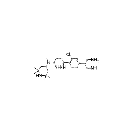 CN(C(=N)/C=C\C(=N)c1ccc(/C(C=N)=C/N)cc1Cl)C1CC(C)(C)NC(C)(C)C1